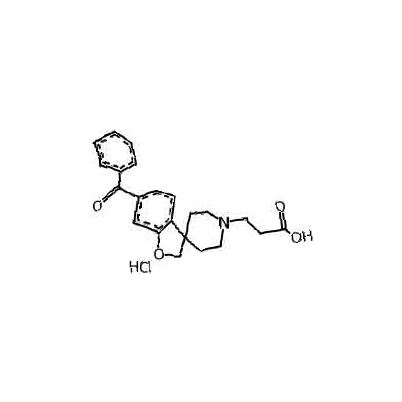 Cl.O=C(O)CCN1CCC2(CC1)COc1cc(C(=O)c3ccccc3)ccc12